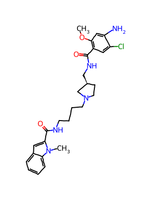 COc1cc(N)c(Cl)cc1C(=O)NC[C@H]1CCN(CCCCNC(=O)c2cc3ccccc3n2C)C1